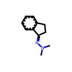 CN(C)/N=C1\CCc2ccccc21